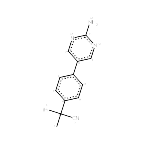 CC(C)C(C)(C#N)c1ccc(-c2cnc(N)nc2)cc1